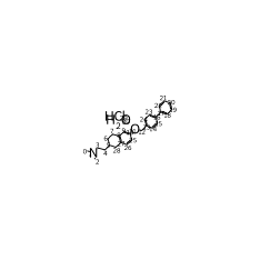 CN(C)CCC1CCc2cc(OCc3ccc(-c4ccccc4)cc3)ccc2C1.Cl.O